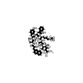 CC(=O)O.CC(C)[C@H](NC(=O)[C@H](CCCCN)NC(=O)[C@@H](Cc1c[nH]c2ccccc12)NC(=O)[C@H](Cc1ccc(O)cc1)NC(=O)[C@H](CS)NC(=O)[C@@H](N)Cc1ccc2ccccc2c1)C(=O)N[C@@H](CS)C(=O)N[C@H](C(N)=O)[C@@H](C)O